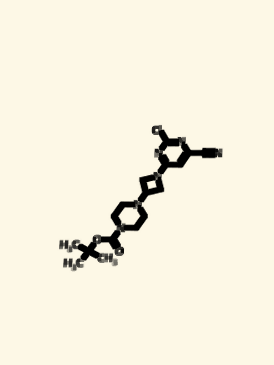 CC(C)(C)OC(=O)N1CCN(C2CN(c3cc(C#N)nc(Cl)n3)C2)CC1